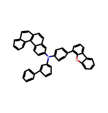 c1ccc(-c2cccc(N(c3ccc(-c4cccc5c4oc4ccccc45)cc3)c3ccc4c(ccc5ccc6ccccc6c54)c3)c2)cc1